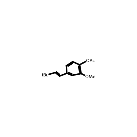 COc1cc(/C=C/C(C)(C)C)ccc1OC(C)=O